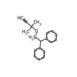 C#CC(C)(C)O[SiH2]C(c1ccccc1)c1ccccc1